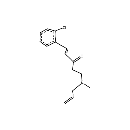 C=CCN(C)CCC(=O)C=Cc1ccccc1Cl